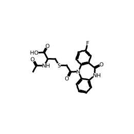 CC(=O)NC(CSCC(=O)N1c2ccccc2NC(=O)c2cc(F)ccc21)C(=O)O